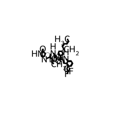 C=C(/C=C\C=C/C)[C@@H]1C[C@@H](C(=O)N[C@@H](C[C@@H]2CCNC2=O)C(C#N)NCC)N(C(=O)c2cc3c(OC(F)F)cccc3[nH]2)C1